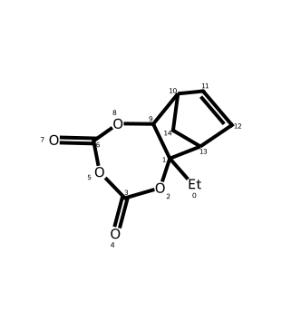 CCC12OC(=O)OC(=O)OC1C1C=CC2C1